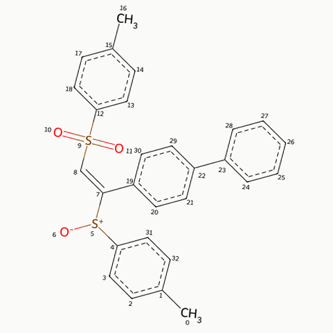 Cc1ccc([S+]([O-])/C(=C/S(=O)(=O)c2ccc(C)cc2)c2ccc(-c3ccccc3)cc2)cc1